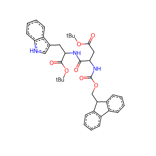 CC(C)(C)OC(=O)CC(NC(=O)OCC1c2ccccc2-c2ccccc21)C(=O)NC(Cc1c[nH]c2ccccc12)C(=O)OC(C)(C)C